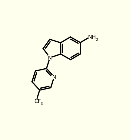 Nc1ccc2c(ccn2-c2ccc(C(F)(F)F)cn2)c1